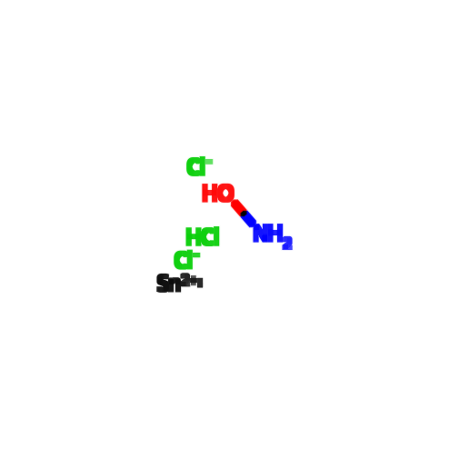 Cl.NO.[Cl-].[Cl-].[Sn+2]